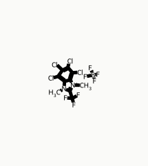 Cn1c(C(F)(F)F)[n+](C)c2c(Cl)c(Cl)c(Cl)c(Cl)c21.F[B-](F)(F)F